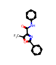 O=C(Nc1[c]cccc1)c1nc(-c2ccccc2)oc1C(F)(F)F